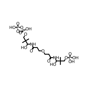 CC(C)(COP(=O)(O)O)C(O)NC(=O)CCOCCC(=O)NC(O)C(C)(C)COP(=O)(O)OP(=O)(O)O